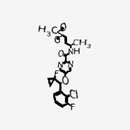 C[C@H](/C=C/S(C)(=O)=O)NC(=O)c1ncc(O[C@H](c2cccc(F)c2Cl)C2(F)CC2)cn1